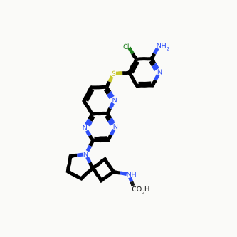 Nc1nccc(Sc2ccc3nc(N4CCCC45CC(NC(=O)O)C5)cnc3n2)c1Cl